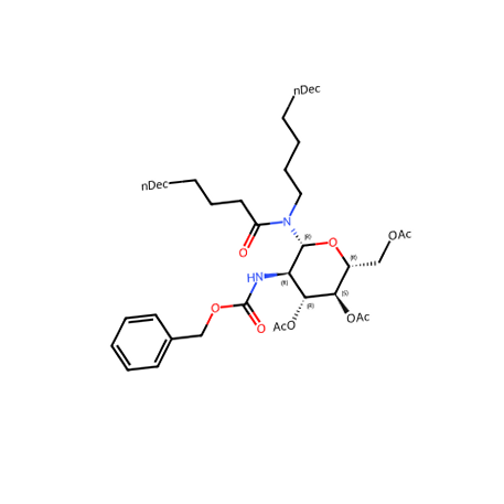 CCCCCCCCCCCCCCN(C(=O)CCCCCCCCCCCCC)[C@@H]1O[C@H](COC(C)=O)[C@@H](OC(C)=O)[C@H](OC(C)=O)[C@H]1NC(=O)OCc1ccccc1